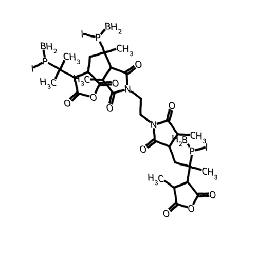 BP(I)C(C)(C)C1C(=O)OC(=O)C1CC(C)(C1C(=O)N(CCN2C(=O)C(C)C(CC(C)(C3C(=O)OC(=O)C3C)P(B)I)C2=O)C(=O)C1C)P(B)I